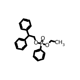 CCOP(=O)(OCC(c1ccccc1)c1ccccc1)c1ccccc1